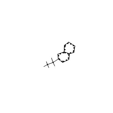 FC(F)(F)C(F)(F)C(F)(F)c1ccc2ccccc2c1